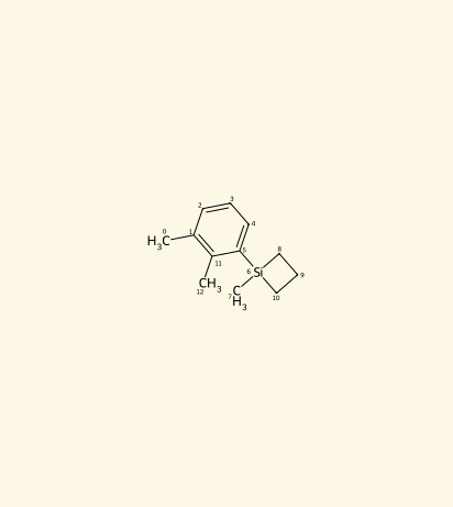 Cc1cccc([Si]2(C)CCC2)c1C